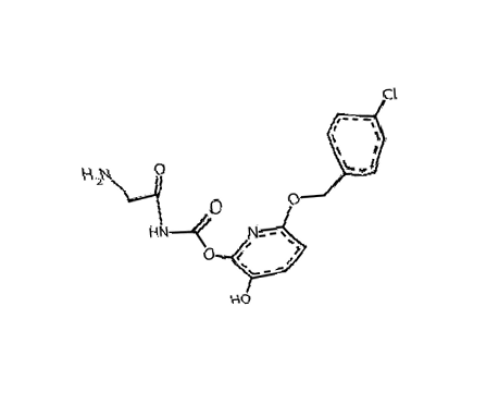 NCC(=O)NC(=O)Oc1nc(OCc2ccc(Cl)cc2)ccc1O